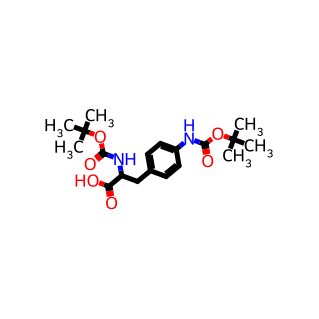 CC(C)(C)OC(=O)Nc1ccc(CC(NC(=O)OC(C)(C)C)C(=O)O)cc1